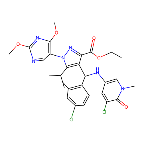 CCOC(=O)c1nn(-c2cnc(OC)nc2OC)c(C(C)C)c1C(Nc1cc(Cl)c(=O)n(C)c1)c1ccc(Cl)cc1C